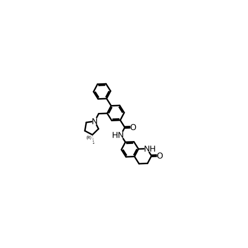 C[C@@H]1CCN(Cc2cc(C(=O)Nc3ccc4c(c3)NC(=O)CC4)ccc2-c2ccccc2)C1